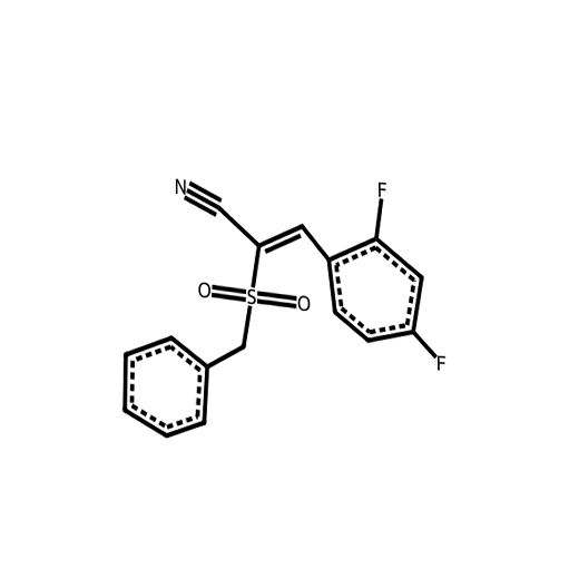 N#C/C(=C/c1ccc(F)cc1F)S(=O)(=O)Cc1ccccc1